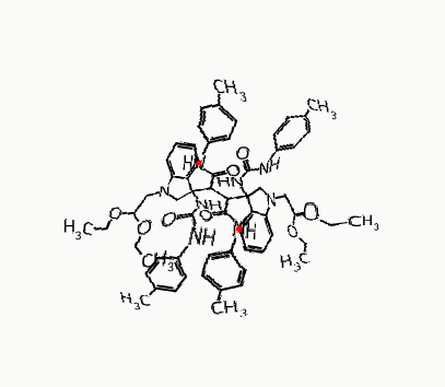 CCOC(CN1CC(NC(=O)Nc2ccc(C)cc2)(C(C(=O)Nc2ccc(C)cc2)C(C(=O)Nc2ccc(C)cc2)C2(NC(=O)Nc3ccc(C)cc3)CN(CC(OCC)OCC)c3ccccc32)c2ccccc21)OCC